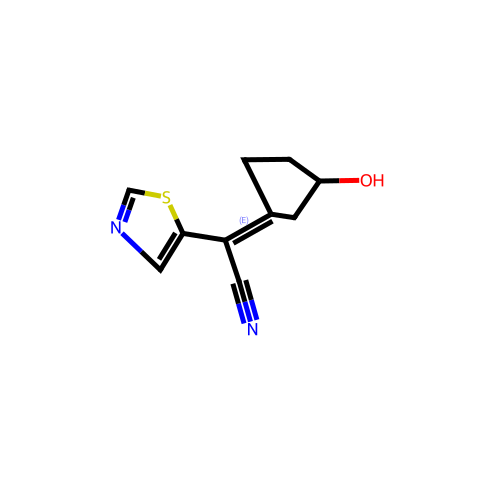 N#C/C(=C1/CCC(O)C1)c1cncs1